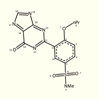 CCCOc1ccc(S(=O)(=O)NC)cc1C1=NC(=O)C2=NC=NC2=N1